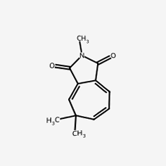 CN1C(=O)C2=CC=CC(C)(C)C=C2C1=O